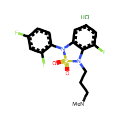 CNCCCN1c2c(F)cccc2N(c2ccc(F)cc2F)S1(=O)=O.Cl